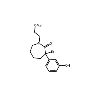 CCC1(c2cccc(O)c2)CCCCN(CCOC)C1=O